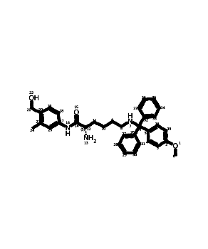 COc1ccc(C(NCCCC[C@H](N)C(=O)Nc2ccc(CO)c(C)c2)(c2ccccc2)c2ccccc2)cc1